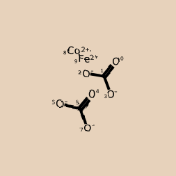 O=C([O-])[O-].O=C([O-])[O-].[Co+2].[Fe+2]